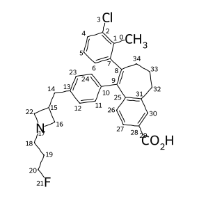 Cc1c(Cl)cccc1C1=C(c2ccc(CC3CN(CCCF)C3)cc2)c2ccc(C(=O)O)cc2CCC1